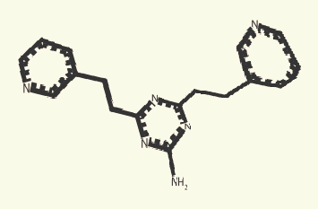 Nc1nc(CCc2cccnc2)nc(CCc2cccnc2)n1